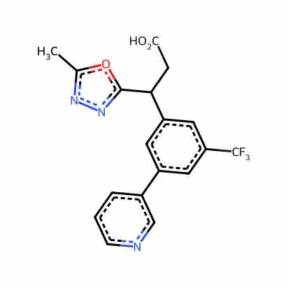 Cc1nnc(C(CC(=O)O)c2cc(-c3cccnc3)cc(C(F)(F)F)c2)o1